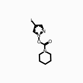 O=C(On1cc(I)cn1)N1CCCCC1